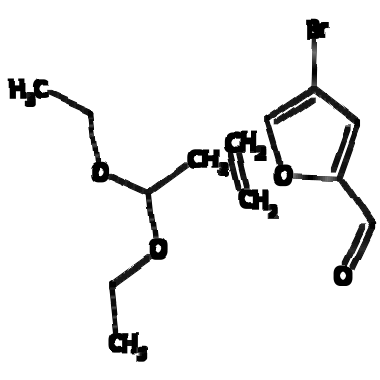 C=C.CCOC(C)OCC.O=Cc1cc(Br)co1